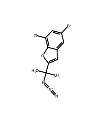 CC(C)(N=[N+]=[N-])c1cc2cc(Br)cc(Cl)c2o1